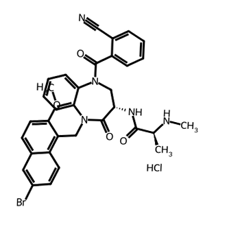 CN[C@@H](C)C(=O)N[C@H]1CN(C(=O)c2ccccc2C#N)c2ccccc2N(Cc2c(OC)ccc3cc(Br)ccc23)C1=O.Cl